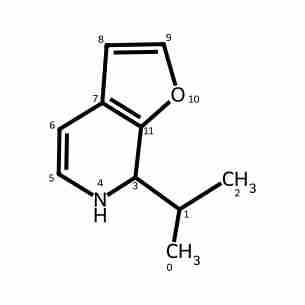 CC(C)C1NC=Cc2ccoc21